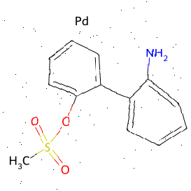 CS(=O)(=O)Oc1ccccc1-c1ccccc1N.[Pd]